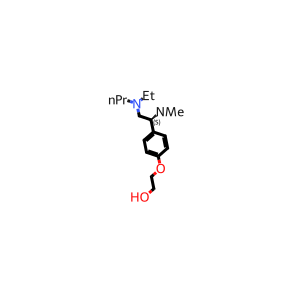 CCCN(CC)C[C@@H](NC)c1ccc(OCCO)cc1